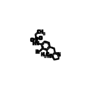 CCS(=O)(=O)Nc1ccc(CC2=NCCN2)c(C)c1Br